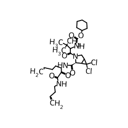 C=CCCNC(=O)C(=O)C(CCC=C)NC(=O)[C@@H]1C2C(CN1C(=O)C(NC(=O)OC1CCCCC1)C(C)(C)C)C2(Cl)Cl